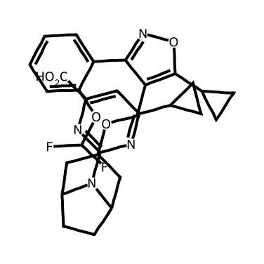 O=C(O)c1cc(C2CC2)nc(N2C3CCC2CC(OCc2c(-c4ccccc4OC(F)F)noc2C2CC2)C3)n1